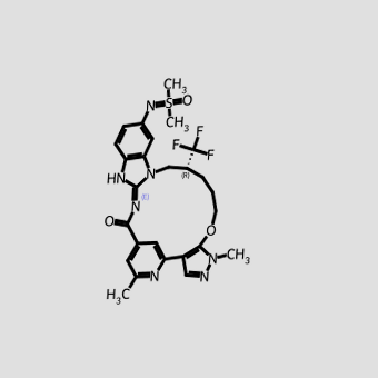 Cc1cc2cc(n1)-c1cnn(C)c1OCCC[C@@H](C(F)(F)F)CN1/C(=N/C2=O)Nc2ccc(N=S(C)(C)=O)cc21